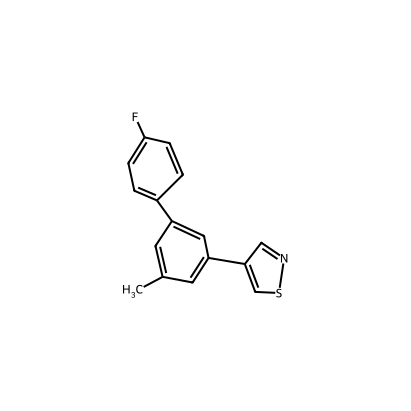 Cc1cc(-c2ccc(F)cc2)cc(-c2cnsc2)c1